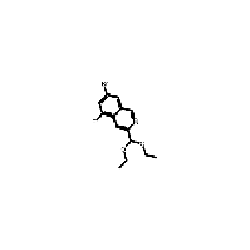 CCOC(OCC)c1cc2c(F)cc(Br)cc2cn1